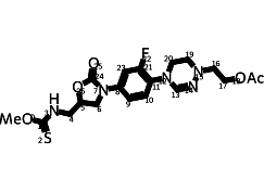 COC(=S)NCC1CN(c2ccc(N3C=NN(CCOC(C)=O)CC3)c(F)c2)C(=O)O1